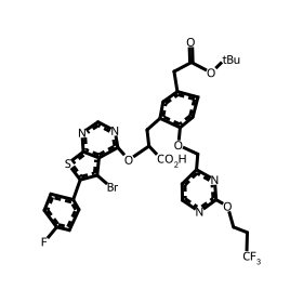 CC(C)(C)OC(=O)Cc1ccc(OCc2ccnc(OCCC(F)(F)F)n2)c(CC(Oc2ncnc3sc(-c4ccc(F)cc4)c(Br)c23)C(=O)O)c1